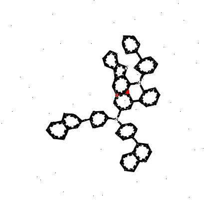 c1ccc(-c2cccc(N(c3ccccc3-c3cccc(N(c4ccc(-c5ccc6ccccc6c5)cc4)c4ccc(-c5cccc6ccccc56)cc4)c3)c3cccc4c3sc3ccccc34)c2)cc1